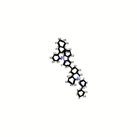 c1ccc(-c2cccc(N3Cc4ccc(-c5ccc6c(c5)c5ccccc5n6-c5ccccc5-c5ccc6ccccc6c5)cc4-c4ccccc43)c2)cc1